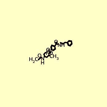 C=CC(=O)NC1CCN(S(=O)(=O)c2ccc(C(=O)NCCCc3ccccc3)cc2)C(C)C1